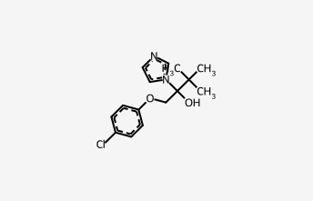 CC(C)(C)C(O)(COc1ccc(Cl)cc1)n1ccnc1